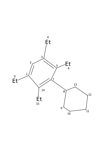 CCc1cc(CC)c(CC)c(C2CCCCC2)c1CC